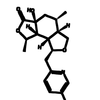 C[C@H]1C[C@@]2(O)C(=O)O[C@H](C)[C@H]2[C@@H]2[C@@H]1CO[C@H]2Cc1ccc(Br)cn1